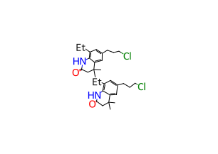 CCc1cc(CCCCl)cc2c1NC(=O)CC2(C)C.CCc1cc(CCCCl)cc2c1NC(=O)CC2(C)C